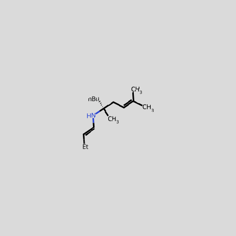 CC/C=C/N[C@](C)(CC=C(C)C)CCCC